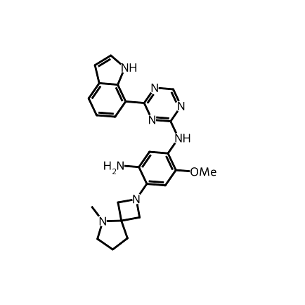 COc1cc(N2CC3(CCCN3C)C2)c(N)cc1Nc1ncnc(-c2cccc3cc[nH]c23)n1